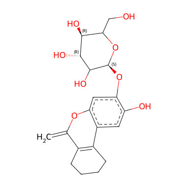 C=C1Oc2cc(O[C@@H]3OC(CO)[C@H](O)[C@@H](O)C3O)c(O)cc2C2=C1CCCC2